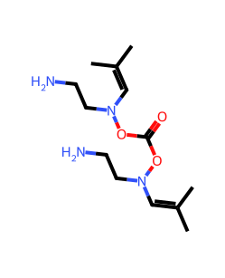 CC(C)=CN(CCN)OC(=O)ON(C=C(C)C)CCN